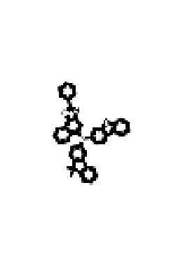 CC1(C)c2ccccc2-c2cc(N(c3ccc4c(c3)oc3ccccc34)c3cc4nc(-c5ccccc5)oc4c4ccccc34)ccc21